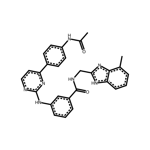 CC(=O)Nc1ccc(-c2ccnc(Nc3cccc(C(=O)NCc4nc5c(C)cccc5[nH]4)c3)n2)cc1